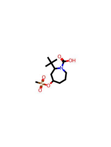 CC(C)(C)C1CC(OS(C)(=O)=O)CCCN1C(=O)O